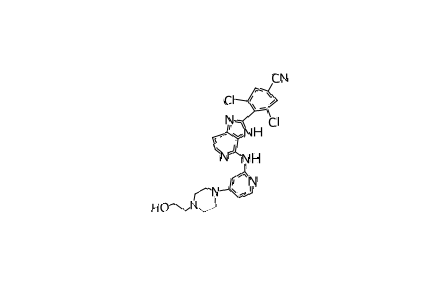 N#Cc1cc(Cl)c(-c2nc3ccnc(Nc4cc(N5CCN(CCO)CC5)ccn4)c3[nH]2)c(Cl)c1